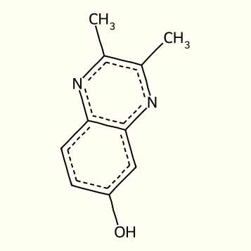 Cc1nc2ccc(O)cc2nc1C